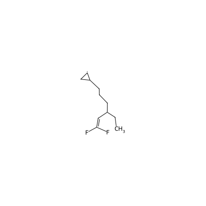 CCC(C=C(F)F)CCCC1[CH]C1